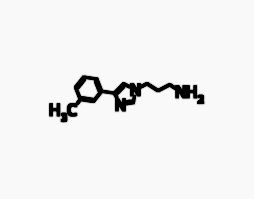 Cc1cccc(-c2cn(CCCN)cn2)c1